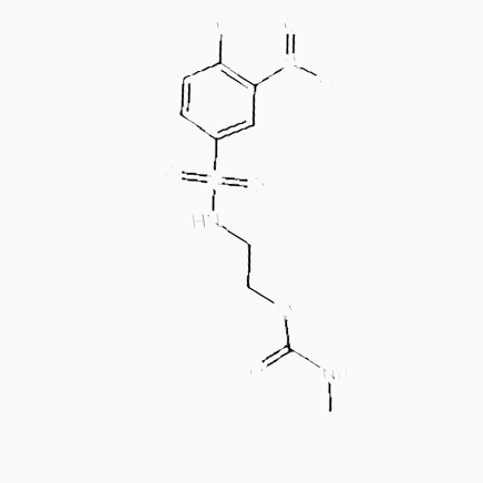 CNC(=O)OCCNS(=O)(=O)c1ccc(Cl)c([N+](=O)[O-])c1